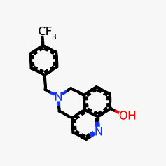 Oc1ccc2c3c(ccnc13)CN(Cc1ccc(C(F)(F)F)cc1)C2